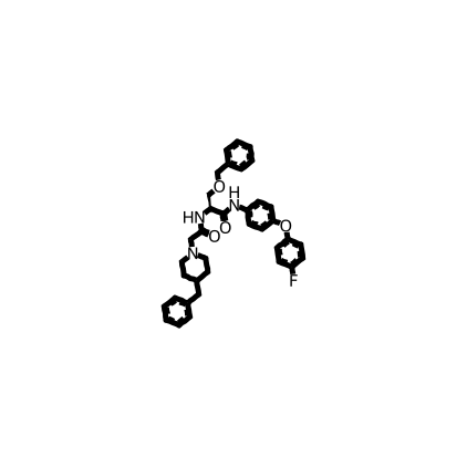 O=C(CN1CCC(Cc2ccccc2)CC1)N[C@@H](COCc1ccccc1)C(=O)Nc1ccc(Oc2ccc(F)cc2)cc1